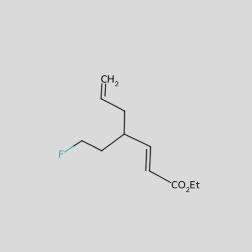 C=CCC(C=CC(=O)OCC)CCF